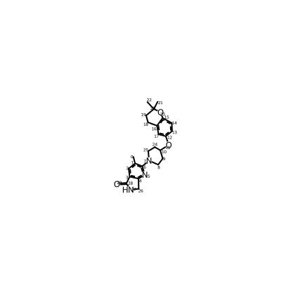 Cc1cc2c(nc1N1CCC(Oc3ccc4c(c3)CCC(C)(C)O4)CC1)CNC2=O